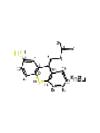 C=C(C)CCC1c2cc(S)ccc2Sc2ccc(CCCC)cc21